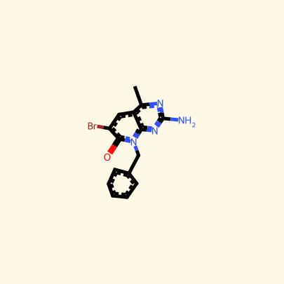 Cc1nc(N)nc2c1cc(Br)c(=O)n2Cc1ccccc1